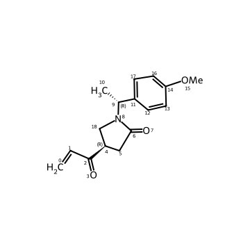 C=CC(=O)[C@@H]1CC(=O)N([C@H](C)c2ccc(OC)cc2)C1